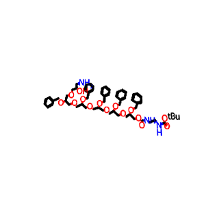 CC(C)(C)OC(=O)NCCNC(=O)OCC(COCC(COCC(COCC(COCC(COCC(O)CN)OCc1ccccc1)OCc1ccccc1)OCc1ccccc1)OCc1ccccc1)OCc1ccccc1